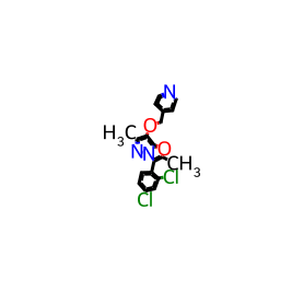 Cc1nn2c(-c3ccc(Cl)cc3Cl)c(C)oc2c1OCc1ccncc1